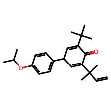 C=CC(C)(C)C1=CC(c2ccc(OC(C)C)cc2)C=C(C(C)(C)C)C1=O